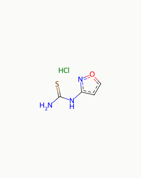 Cl.NC(=S)Nc1ccon1